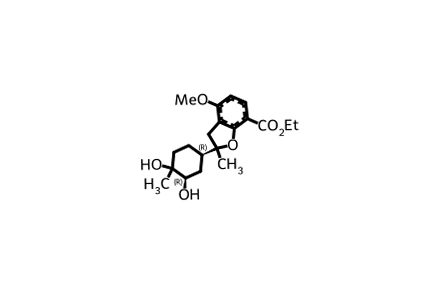 CCOC(=O)c1ccc(OC)c2c1OC(C)([C@@H]1CCC(C)(O)[C@H](O)C1)C2